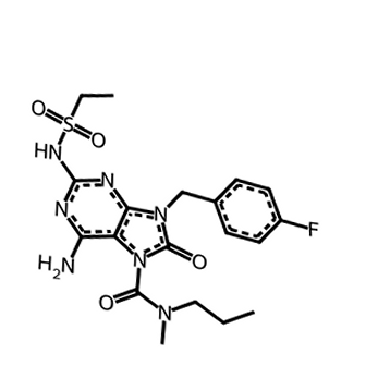 CCCN(C)C(=O)n1c(=O)n(Cc2ccc(F)cc2)c2nc(NS(=O)(=O)CC)nc(N)c21